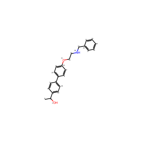 CC(O)c1ccc(-c2ccc(OCCNCc3ccccc3)cc2)cc1